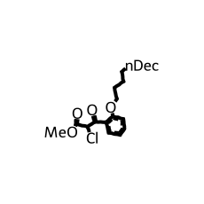 CCCCCCCCCCCCCCOc1ccccc1C(=O)C(Cl)C(=O)OC